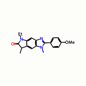 CCN1C(=O)C(C)c2cc3c(cc21)nc(-c1ccc(OC)cc1)n3C